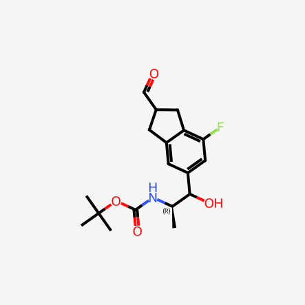 C[C@@H](NC(=O)OC(C)(C)C)C(O)c1cc(F)c2c(c1)CC(C=O)C2